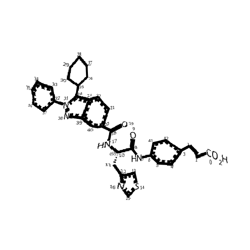 O=C(O)C=Cc1ccc(NC(=O)[C@H](Cc2cscn2)NC(=O)c2ccc3c(C4CCCCC4)n(-c4ccccc4)nc3c2)cc1